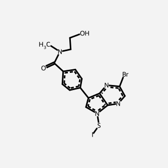 CN(CCO)C(=O)c1ccc(-c2cn(SI)c3ncc(Br)nc23)cc1